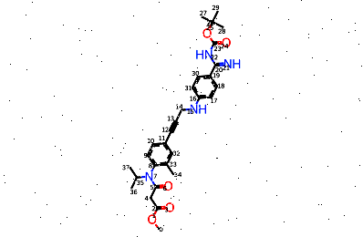 COC(=O)CC(=O)N(c1ccc(C#CCNc2ccc(C(=N)NC(=O)OC(C)(C)C)cc2)cc1C)C(C)C